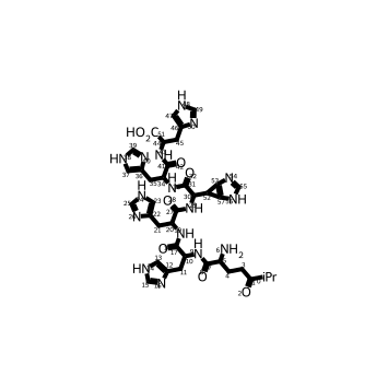 CC(C)C(=O)CCC(N)C(=O)NC(Cc1c[nH]cn1)C(=O)NC(Cc1c[nH]cn1)C(=O)NC(C(=O)NC(Cc1c[nH]cn1)C(=O)NC(Cc1c[nH]cn1)C(=O)O)C1c2nc[nH]c21